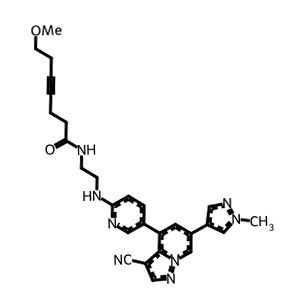 COCCC#CCCC(=O)NCCNc1ccc(-c2cc(-c3cnn(C)c3)cn3ncc(C#N)c23)cn1